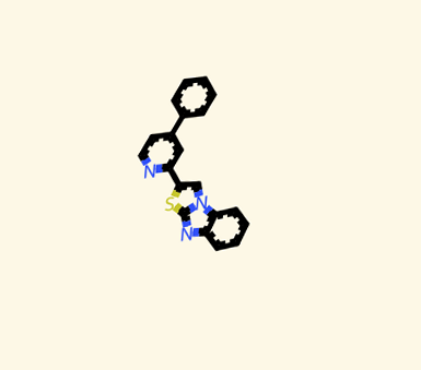 c1ccc(-c2ccnc(-c3cn4c(nc5ccccc54)s3)c2)cc1